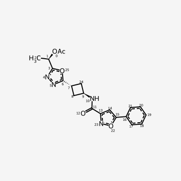 CC(=O)O[C@H](C)c1nnc([C@H]2C[C@H](NC(=O)c3cc(-c4ccccc4)on3)C2)o1